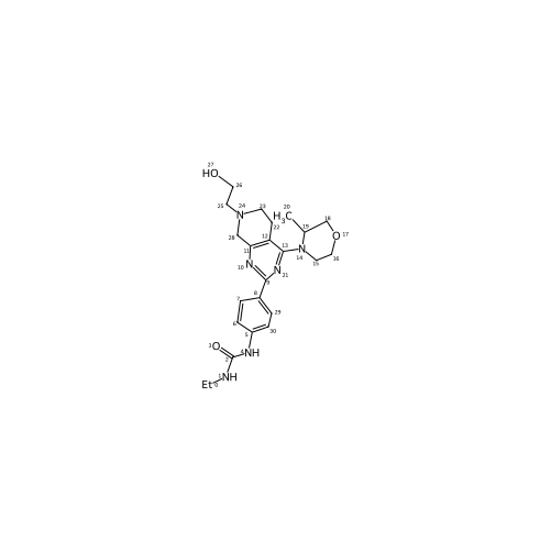 CCNC(=O)Nc1ccc(-c2nc3c(c(N4CCOCC4C)n2)CCN(CCO)C3)cc1